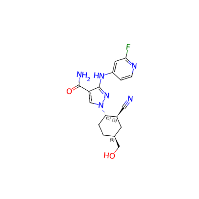 N#C[C@H]1C[C@@H](CO)CC[C@@H]1n1cc(C(N)=O)c(Nc2ccnc(F)c2)n1